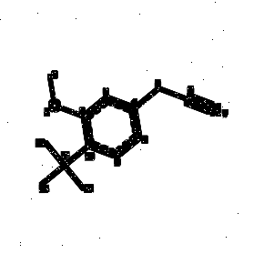 COc1cc(CC#N)ccc1C(C)(C)C